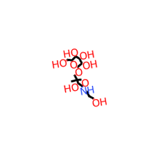 CC(C)(COC1OC(CO)C(O)C(O)C1O)[C@@H](O)C(=O)NCCCO